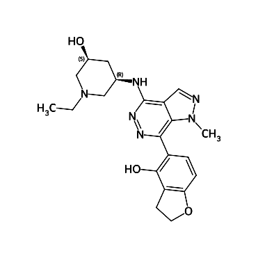 CCN1C[C@@H](O)C[C@@H](Nc2nnc(-c3ccc4c(c3O)CCO4)c3c2cnn3C)C1